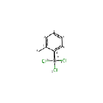 Cc1cccc[c]1[Ti]([Cl])([Cl])[Cl]